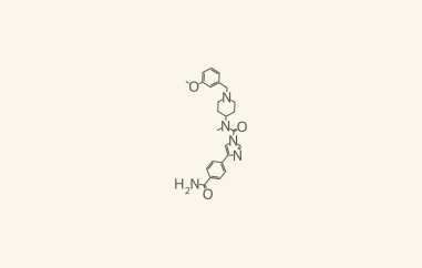 COc1cccc(CN2CCC(N(C)C(=O)n3cnc(-c4ccc(C(N)=O)cc4)c3)CC2)c1